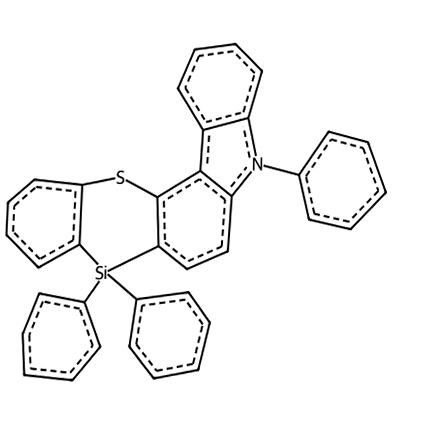 c1ccc(-n2c3ccccc3c3c4c(ccc32)[Si](c2ccccc2)(c2ccccc2)c2ccccc2S4)cc1